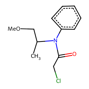 COCC(C)N(C(=O)CCl)c1ccccc1